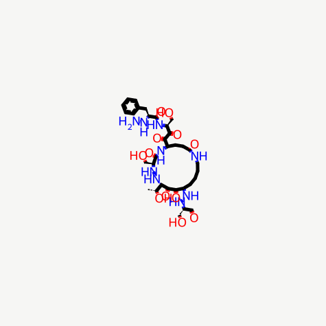 C[C@@H](O)[C@@H]1NN[C@@H](CO)C(=O)NC(C(=O)C(=O)[C@H](CO)NC(=O)[C@H](Cc2ccccc2)NN)CCC(=O)NCCCCC(NN[C@H](C=O)CO)C(=O)C1=O